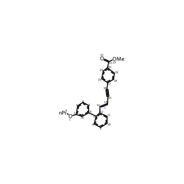 CCCOc1cccc(-c2ccccc2/C=C/C#Cc2ccc(C(=O)OC)cc2)c1